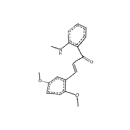 CNc1ccccc1C(=O)C=Cc1cc(OC)ccc1OC